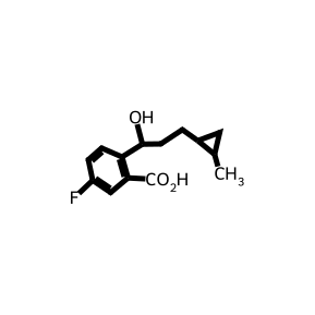 CC1CC1CCC(O)c1ccc(F)cc1C(=O)O